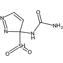 NC(=O)NC1([SH](=O)=O)C=CN=N1